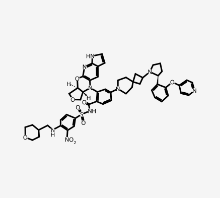 O=C(NS(=O)(=O)c1ccc(NCC2CCOCC2)c([N+](=O)[O-])c1)c1ccc(N2CCC3(CC2)CC(N2CCC[C@H]2c2ccccc2Oc2ccncc2)C3)cc1N1c2cc3cc[nH]c3nc2O[C@@H]2COC[C@H]21